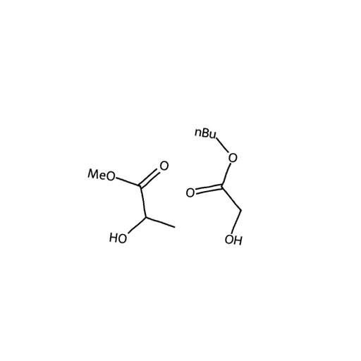 CCCCOC(=O)CO.COC(=O)C(C)O